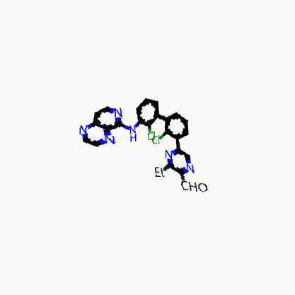 CCc1nc(-c2cccc(-c3cccc(Nc4nccc5nccnc45)c3Cl)c2Cl)cnc1C=O